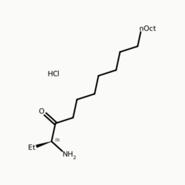 CCCCCCCCCCCCCCCC(=O)[C@@H](N)CC.Cl